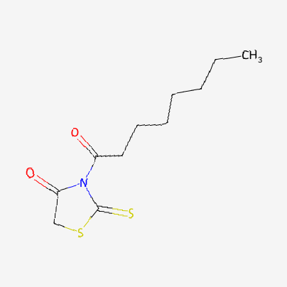 CCCCCCCC(=O)N1C(=O)CSC1=S